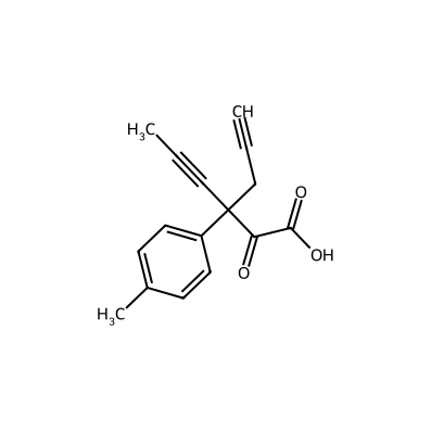 C#CCC(C#CC)(C(=O)C(=O)O)c1ccc(C)cc1